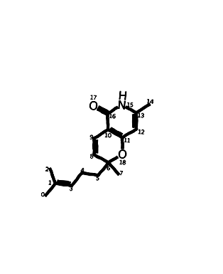 CC(C)=CCCC1(C)C=Cc2c(cc(C)[nH]c2=O)O1